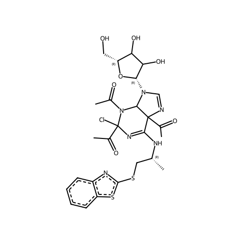 CC(=O)N1C2N([C@@H]3O[C@H](CO)C(O)C3O)C=NC2(C(C)=O)C(N[C@H](C)CSc2nc3ccccc3s2)=NC1(Cl)C(C)=O